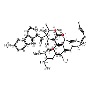 CC#C/C=C\C#C[C@H](OC1OC(C)C(SC)(C(=O)c2nccc3c2[nH]c2ccc(N)cc23)C(O)C1OC1CC(OC)C(NC(C)C)CO1)C1=C(NC(=O)OC)C(=O)C[C@H](O)/C1=C/CSC(C)=O